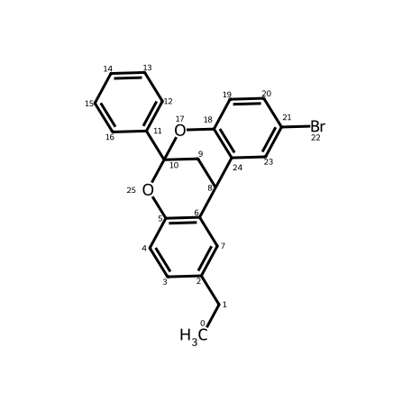 CCc1ccc2c(c1)C1CC(c3ccccc3)(Oc3ccc(Br)cc31)O2